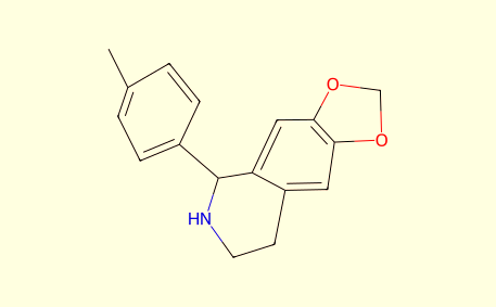 Cc1ccc(C2NCCc3cc4c(cc32)OCO4)cc1